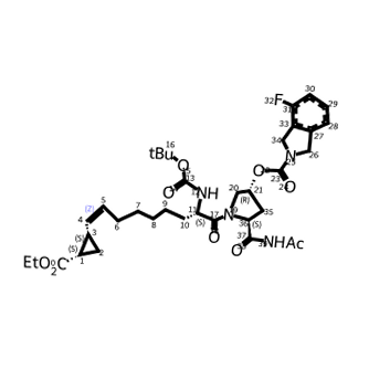 CCOC(=O)[C@H]1C[C@H]1/C=C\CCCCC[C@H](NC(=O)OC(C)(C)C)C(=O)N1C[C@H](OC(=O)N2Cc3cccc(F)c3C2)C[C@H]1C(=O)NC(C)=O